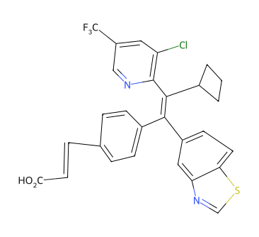 O=C(O)/C=C/c1ccc(/C(=C(\c2ncc(C(F)(F)F)cc2Cl)C2CCC2)c2ccc3scnc3c2)cc1